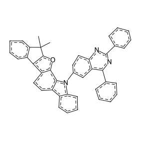 CC1(C)c2ccccc2-c2c1oc1c2ccc2c3ccccc3n(-c3ccc4nc(-c5ccccc5)nc(-c5ccccc5)c4c3)c21